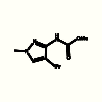 COC(=O)Nc1nn(C)cc1C(C)C